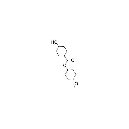 COC1CCC(OC(=O)C2CCC(O)CC2)CC1